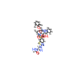 CC(=O)NCCNc1nc2ccc(S(=O)(=O)N(CC(C)C)C[C@@H](O)[C@H](Cc3ccccc3)NC(=O)COc3c(C)cccc3C)cc2s1